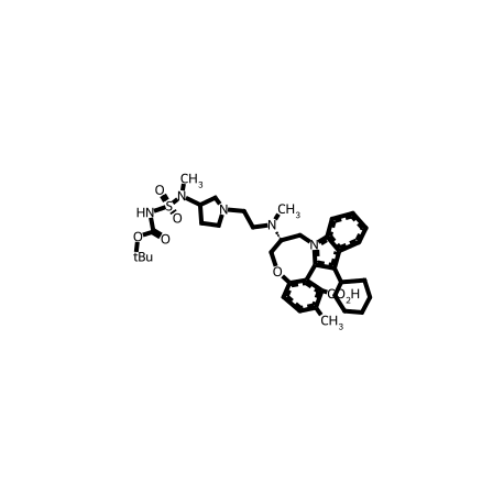 Cc1ccc2c(c1C(=O)O)-c1c(C3CCCCC3)c3ccccc3n1C[C@@H](N(C)CCN1CCC(N(C)S(=O)(=O)NC(=O)OC(C)(C)C)C1)CO2